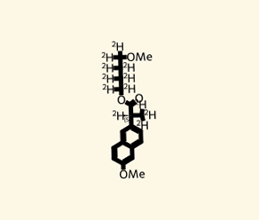 [2H]C([2H])(OC)C([2H])([2H])C([2H])([2H])C([2H])([2H])OC(=O)[C@]([2H])(c1ccc2cc(OC)ccc2c1)C([2H])([2H])[2H]